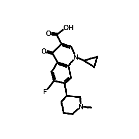 CN1CCCC(c2cc3c(cc2F)c(=O)c(C(=O)O)cn3C2CC2)C1